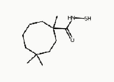 CC1(C)CCCCC(C)(C(=O)NS)CC1